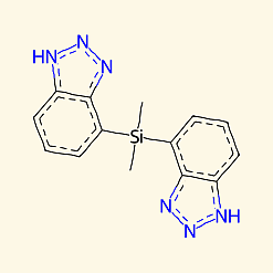 C[Si](C)(c1cccc2[nH]nnc12)c1cccc2[nH]nnc12